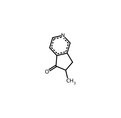 CC1Cc2cnccc2C1=O